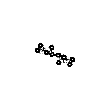 CCC(CC)(c1ccc2c3ccc(-c4ccc5c6ccc(C(CC)(CC)n7c8ccccc8c8ccccc87)cc6n(-c6ccccc6)c5c4)cc3n(-c3ccccc3)c2c1)n1c2ccccc2c2ccccc21